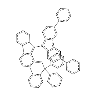 C1=c2c(ccc3c2=C(n2c4ccc(-c5ccccc5)cc4c4cc(-c5ccccc5)ccc42)c2ccccc2-3)-c2ccccc2C1(c1ccccc1)c1ccccc1